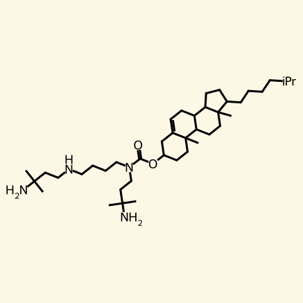 CC(C)CCCCC1CCC2C3CC=C4CC(OC(=O)N(CCCCNCCC(C)(C)N)CCC(C)(C)N)CCC4(C)C3CCC12C